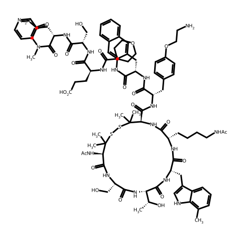 CC(=O)NCCCC[C@@H]1NC(=O)[C@H](Cc2c[nH]c3c(C)cccc23)NC(=O)[C@H]([C@@H](C)O)NC(=O)[C@H](CO)NC(=O)[C@@H](NC(C)=O)C(C)(C)SSC(C)(C)[C@@H](C(=O)N[C@@H](Cc2ccc(OCCN)cc2)C(=O)N[C@@H](Cc2ccc3ccccc3c2)C(=O)NC2(C(=O)N[C@@H](CCC(=O)O)C(=O)N[C@@H](CO)C(=O)N[C@@H](Cc3cccnc3)C(=O)N(C)CC(N)=O)CCOCC2)NC1=O